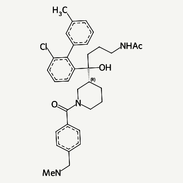 CNCc1ccc(C(=O)N2CCC[C@@H](C(O)(CCCNC(C)=O)c3cccc(Cl)c3-c3cccc(C)c3)C2)cc1